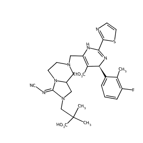 CCOC(=O)C1=C(CN2CCN3/C(=N\C#N)N(CC(C)(C)C(=O)O)CC3C2)NC(c2nccs2)=N[C@H]1c1cccc(F)c1C